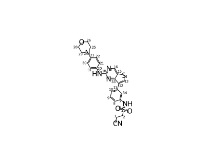 N#CCCS(=O)(=O)Nc1cccc(-c2csc3cnc(Nc4ccc(N5CCOCC5)cc4)nc23)c1